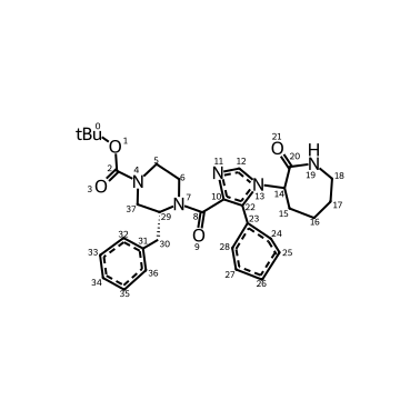 CC(C)(C)OC(=O)N1CCN(C(=O)c2ncn(C3CCCCNC3=O)c2-c2ccccc2)[C@H](Cc2ccccc2)C1